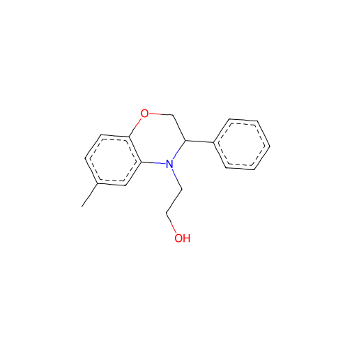 Cc1ccc2c(c1)N(CCO)C(c1ccccc1)CO2